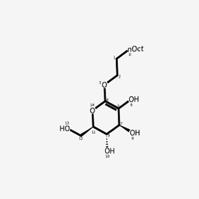 CCCCCCCCCCOC1=C(O)[C@@H](O)[C@H](O)[C@@H](CO)O1